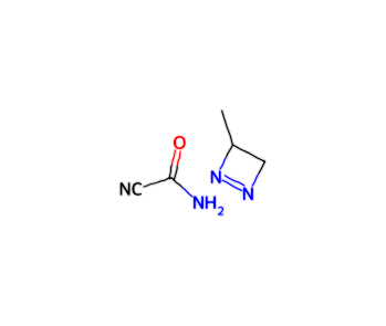 CC1CN=N1.N#CC(N)=O